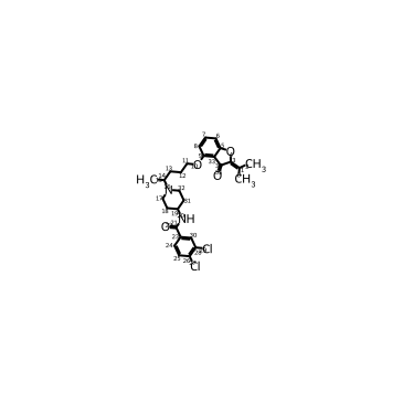 CC(C)=C1Oc2cccc(OCCCC(C)N3CCC(NC(=O)c4ccc(Cl)c(Cl)c4)CC3)c2C1=O